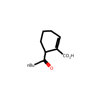 CCCCC(=O)C1CCCC=C1C(=O)O